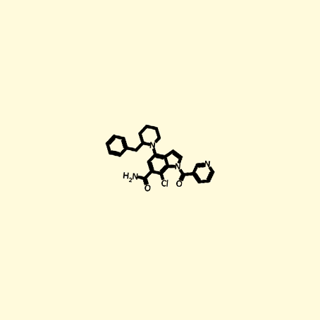 NC(=O)c1cc(N2CCCCC2Cc2ccccc2)c2ccn(C(=O)c3cccnc3)c2c1Cl